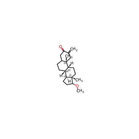 C=C1C[C@@]2(C)C(CC[C@@H]3[C@H]2CC[C@]2(C)C(OC)CC[C@@H]32)CC1=O